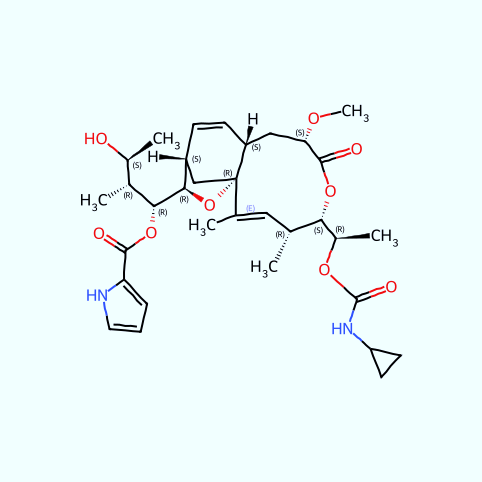 CO[C@H]1C[C@H]2C=C[C@@H]3C[C@]2(O[C@H]3[C@H](OC(=O)c2ccc[nH]2)[C@H](C)[C@H](C)O)/C(C)=C/[C@@H](C)[C@@H]([C@@H](C)OC(=O)NC2CC2)OC1=O